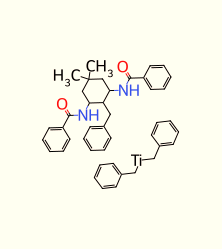 CC1(C)CC(NC(=O)c2ccccc2)C(Cc2ccccc2)C(NC(=O)c2ccccc2)C1.c1ccc([CH2][Ti][CH2]c2ccccc2)cc1